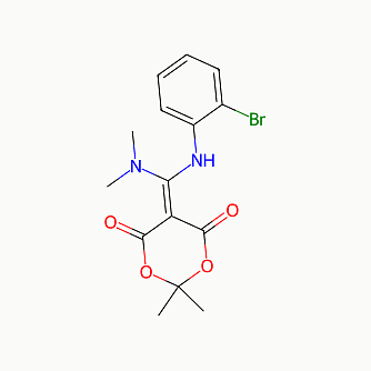 CN(C)C(Nc1ccccc1Br)=C1C(=O)OC(C)(C)OC1=O